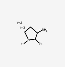 CCC1C(N)CCN1CC.Cl.Cl